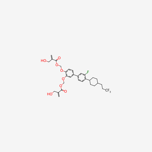 C=C(CO)C(=O)OCOc1ccc(-c2ccc(C3CCC(CCC(F)(F)F)CC3)c(F)c2)cc1OCOC(=O)C(=C)CO